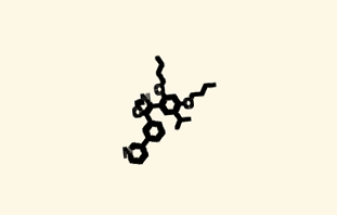 CCCCOc1cc(OCCCC)c(C(C)C)cc1-c1ncoc1-c1cccc(-c2cccnc2)c1